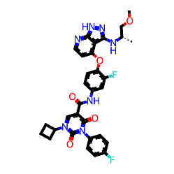 COC[C@H](C)Nc1n[nH]c2nccc(Oc3ccc(NC(=O)c4cn(C5CCC5)c(=O)n(-c5ccc(F)cc5)c4=O)cc3F)c12